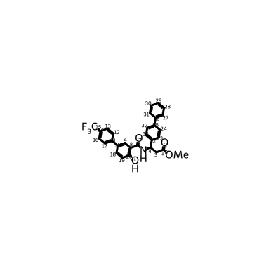 COC(=O)CC(NC(=O)c1cc(-c2ccc(C(F)(F)F)cc2)ccc1O)c1ccc(-c2ccccc2)cc1